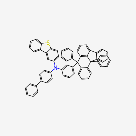 c1ccc(-c2ccc(N(c3cccc(C4(c5ccccc5)c5ccccc5C5(c6ccccc6)c6ccccc6-c6cccc4c65)c3)c3ccc4sc5ccccc5c4c3)cc2)cc1